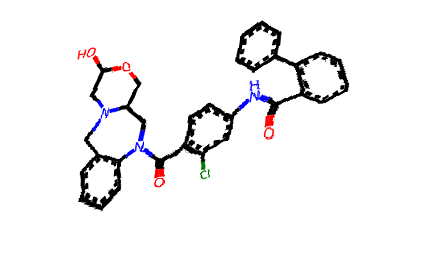 O=C(Nc1ccc(C(=O)N2CC3COC(O)CN3Cc3ccccc32)c(Cl)c1)c1ccccc1-c1ccccc1